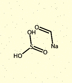 O=S(O)O.O=[CH][Na]